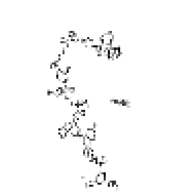 CN(CCN1CCC(N(C(=O)O)c2ccccc2-c2ccccc2)CC1)C(=O)CCCCCNc1ccc(C(=O)N(C)CCCN(C)C(=O)CO[C@H]2Cc3ccccc3C23CCN(CC[C@@]2(c4ccc(F)cc4)CN(C(=O)c4cc(C(F)(F)F)cc(C(F)(F)F)c4)CO2)CC3)cc1F.Cl.Cl.Cl